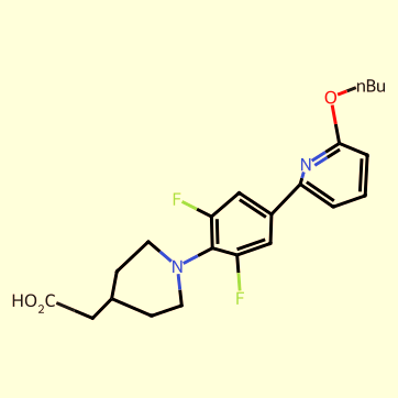 CCCCOc1cccc(-c2cc(F)c(N3CCC(CC(=O)O)CC3)c(F)c2)n1